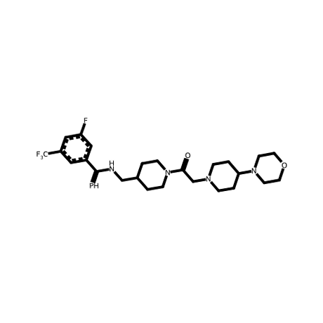 O=C(CN1CCC(N2CCOCC2)CC1)N1CCC(CNC(=P)c2cc(F)cc(C(F)(F)F)c2)CC1